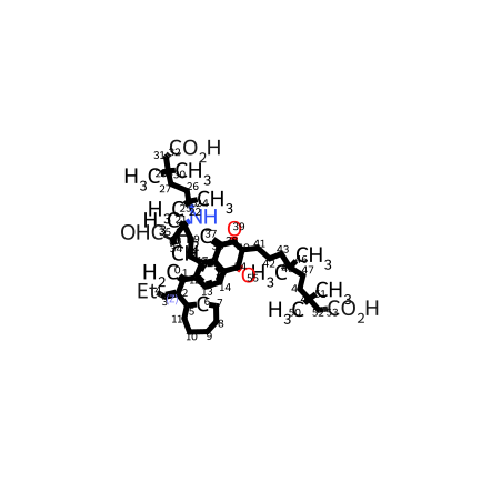 C=C(/C(=C\CC)C1CCCCCC1)c1ccc2c(c1CCC(C)(NC(C)(C)CCC(C)(C)CC(=O)O)[C@@H](C)C=O)C(=C)C(=O)C(CCCC(C)(C)CCC(C)(C)CC(=O)O)C2=O